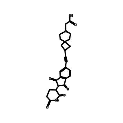 O=C(O)CN1CCC2(CC1)CC(C#Cc1ccc3c(c1)C(=O)N(C1CCC(=O)NC1=O)C3=O)C2